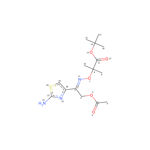 CC(=O)OCC(=NOC(C)(C)C(=O)OC(C)(C)C)c1csc(N)n1